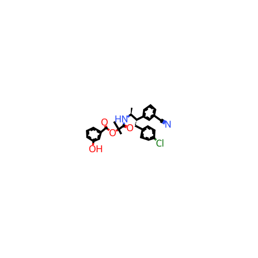 C[C@H](NC(=O)C(C)(C)OC(=O)c1cccc(O)c1)[C@@H](Cc1ccc(Cl)cc1)c1cccc(C#N)c1